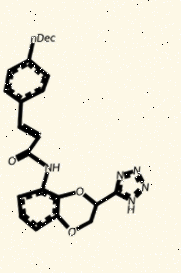 CCCCCCCCCCc1ccc(C=CC(=O)Nc2cccc3c2OC(c2nnn[nH]2)CO3)cc1